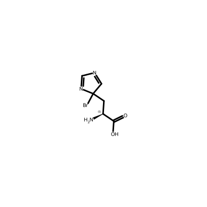 N[C@@H](CC1(Br)C=NC=N1)C(=O)O